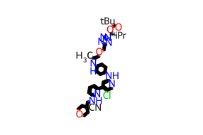 CC(C)[C@@H](OC(=O)C(C)(C)C)n1nnc(COC[C@@H](C)NC2CCC(Nc3cc(-c4cccc(NCC5(C#N)CCOCC5)n4)c(Cl)cn3)CC2)n1